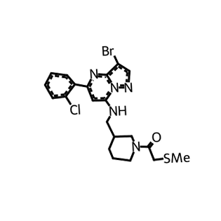 CSCC(=O)N1CCCC(CNc2cc(-c3ccccc3Cl)nc3c(Br)cnn23)C1